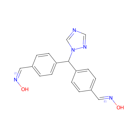 O/N=C\c1ccc(C(c2ccc(/C=N/O)cc2)n2cncn2)cc1